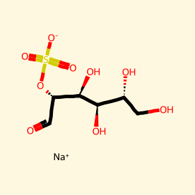 O=C[C@H](OS(=O)(=O)[O-])[C@@H](O)[C@H](O)[C@H](O)CO.[Na+]